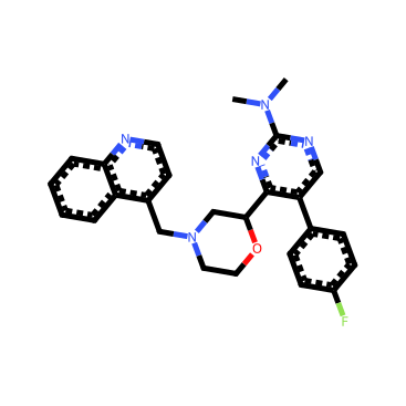 CN(C)c1ncc(-c2ccc(F)cc2)c(C2CN(Cc3ccnc4ccccc34)CCO2)n1